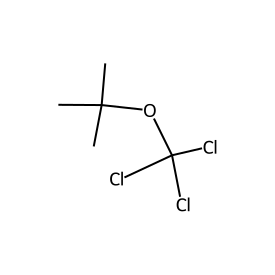 CC(C)(C)OC(Cl)(Cl)Cl